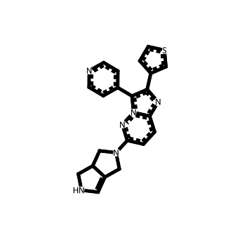 C1=C2CN(c3ccc4nc(-c5ccsc5)c(-c5ccncc5)n4n3)CC2CN1